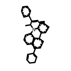 C=C/C=C(/c1ccccc1)C(C)N(c1cccc(C)c1)c1ccccc1-c1ccc(C2=CCCC=C2)cc1